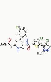 CNC(=O)CC1C[C@@H](c2cccc(F)c2)[C@H](NC(=O)c2cc(Cl)c(-c3c(Cl)cnn3C)s2)CN1